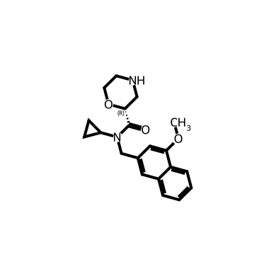 COc1cc(CN(C(=O)[C@H]2CNCCO2)C2CC2)cc2ccccc12